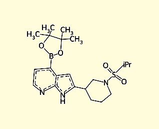 CC(C)S(=O)(=O)N1CCCC(c2cc3c(B4OC(C)(C)C(C)(C)O4)ccnc3[nH]2)C1